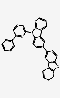 C1=Cc2c(oc3ccc(-c4ccc5c(c4)c4ccccc4n5-c4cccc(-c5ccccc5)n4)cc23)CC1